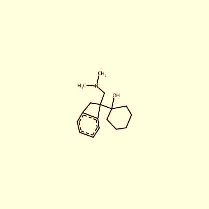 CN(C)CC1(C2(O)CCCCC2)Cc2ccccc21